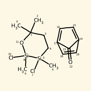 CC1(C)CC[Si](C)(Cl)[Si](C)(Cl)O1.O=C1C2=CC=C1C=C2